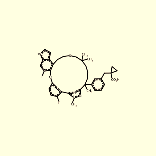 Cn1nc2nc1-c1cc(ccc1F)Oc1c(F)cc3[nH]ccc3c1CCSCC(C)(C)CCCC2(C)c1cccc(CC2(C(=O)O)CC2)c1